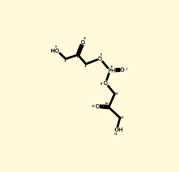 O=C(CO)CO[PH](=O)OCC(=O)CO